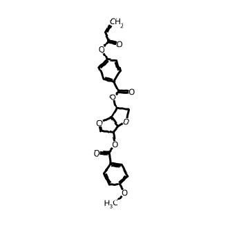 C=CC(=O)Oc1ccc(C(=O)OC2COC3C(OC(=O)c4ccc(OC)cc4)COC23)cc1